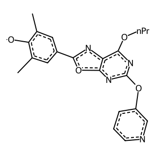 CCCOc1nc(Oc2cccnc2)nc2oc(-c3cc(C)c([O])c(C)c3)nc12